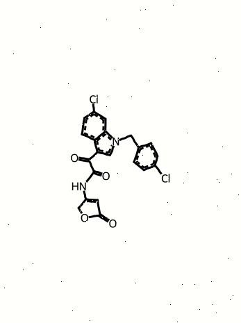 O=C1C=C(NC(=O)C(=O)c2cn(Cc3ccc(Cl)cc3)c3cc(Cl)ccc23)CO1